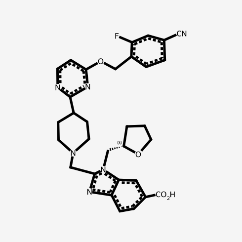 N#Cc1ccc(COc2ccnc(C3CCN(Cc4nc5ccc(C(=O)O)cc5n4C[C@@H]4CCCO4)CC3)n2)c(F)c1